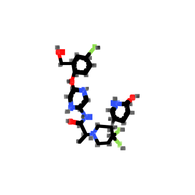 CC(C(=O)Nc1cnc(Oc2ccc(F)cc2CO)cn1)N1CCC(F)(F)[C@@H](c2ccc(=O)[nH]c2)C1